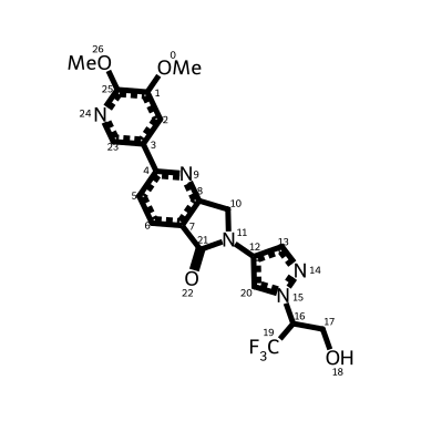 COc1cc(-c2ccc3c(n2)CN(c2cnn(C(CO)C(F)(F)F)c2)C3=O)cnc1OC